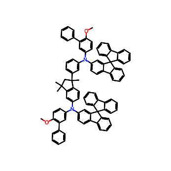 COc1ccc(N(c2cccc(C3(C)CC(C)(C)c4cc(N(c5ccc(OC)c(-c6ccccc6)c5)c5ccc6c(c5)C5(c7ccccc7-c7ccccc75)c5ccccc5-6)ccc43)c2)c2ccc3c(c2)C2(c4ccccc4-c4ccccc42)c2ccccc2-3)cc1-c1ccccc1